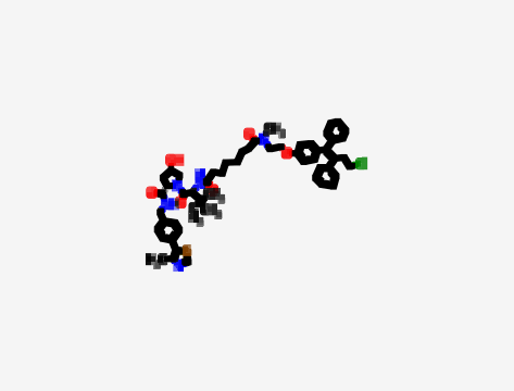 Cc1ncsc1-c1ccc(CNC(=O)[C@@H]2C[C@@H](O)CN2C(=O)[C@@H](NC(=O)CCCCCCC(=O)N(C)CCOc2ccc(/C(=C(/CCCl)c3ccccc3)c3ccccc3)cc2)C(C)(C)C)cc1